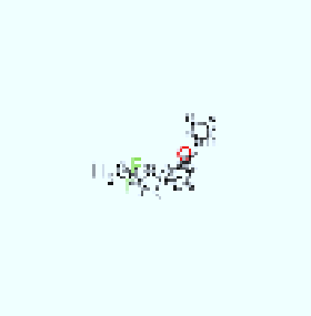 CC(F)(F)C1CCC(c2cccc(OCc3ccccc3)c2)C1